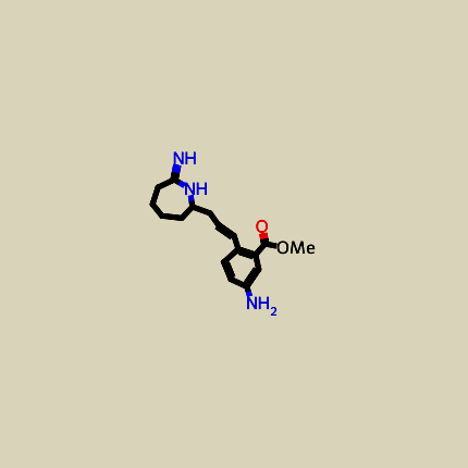 COC(=O)c1cc(N)ccc1C=CCC1CCCCC(=N)N1